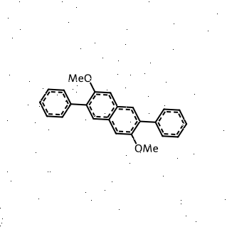 COc1cc2cc(-c3ccccc3)c(OC)cc2cc1-c1ccccc1